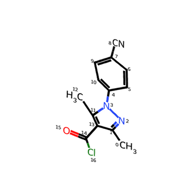 Cc1nn(-c2ccc(C#N)cc2)c(C)c1C(=O)Cl